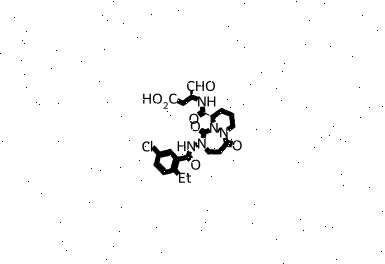 CCc1ccc(Cl)cc1C(=O)NN1CCC(=O)N2CCC[C@@H](C(=O)N[C@H](C=O)CC(=O)O)N2C1=O